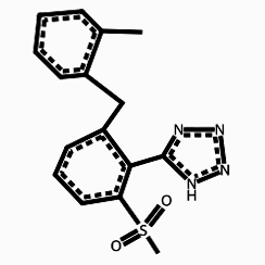 Cc1ccccc1Cc1cccc(S(C)(=O)=O)c1-c1nnn[nH]1